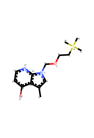 Cc1cn(COCCS(C)(C)C)c2nccc(Br)c12